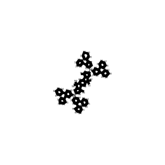 Cc1cc(N(c2ccc(C3=CCCC=C3)c(-c3ccccc3)c2)c2ccc(-c3ccccc3)c(-c3ccccc3)c2)cc2c1-c1cc3c(cc1C2(C)C)-c1c(C)cc(N(c2ccc(-c4ccccc4)c(-c4ccccc4)c2)c2ccc(-c4ccccc4)c(-c4ccccc4)c2)cc1C3(C)C